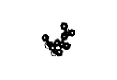 c1ccc(-c2cc3cc4c(cc3o2)oc2cccc(-c3c5ccccc5c(-c5ccc6c(c5)c5ccccc5n6-c5ccccc5)c5ccccc35)c24)cc1